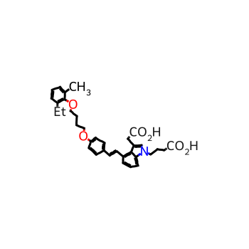 CCc1cccc(C)c1OCCCCOc1ccc(/C=C/c2cccc3c2c(CC(=O)O)cn3CCCC(=O)O)cc1